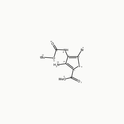 COC(=O)c1sc(Br)c(NC(=O)OC(C)(C)C)c1N